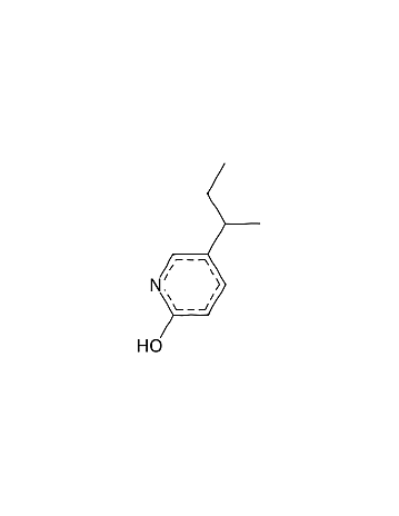 CCC(C)c1ccc(O)nc1